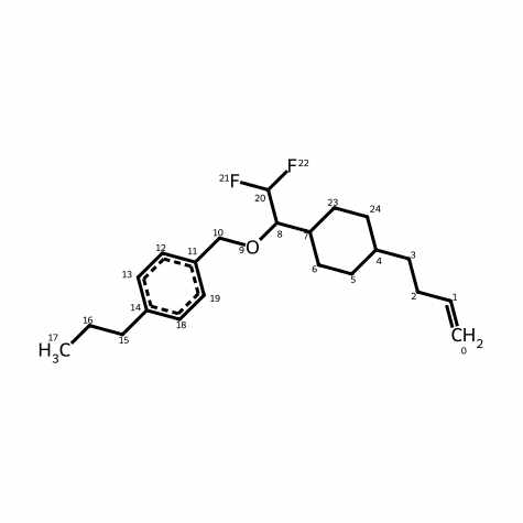 C=CCCC1CCC(C(OCc2ccc(CCC)cc2)C(F)F)CC1